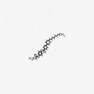 CCCCCCCCC1CCC(C2CCC(C(=O)Oc3ccc(OC(=O)CC)cc3)CC2)CC1